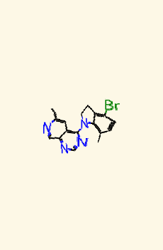 Cc1cc2c(N3CCc4c(Br)ccc(C)c43)ncnc2cn1